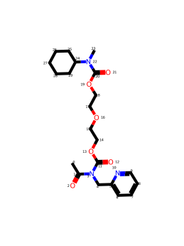 CC(=O)N(Cc1ccccn1)C(=O)OCCOCCOC(=O)N(C)C1CCCCC1